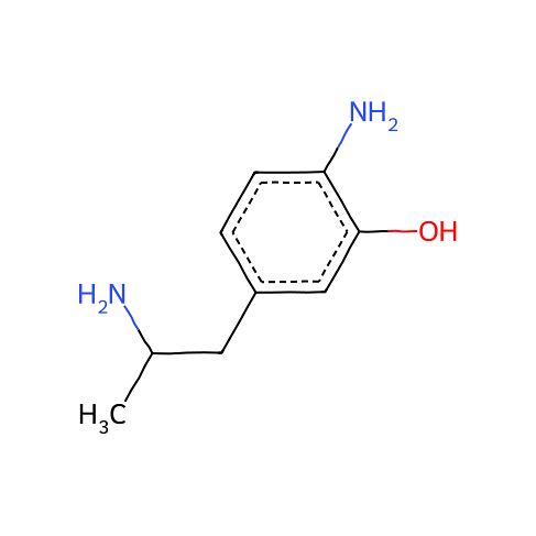 CC(N)Cc1ccc(N)c(O)c1